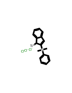 C[Si](C)(C1=Cc2ccccc2[CH]1[Ti+3])c1ccccc1.[Cl-].[Cl-].[Cl-]